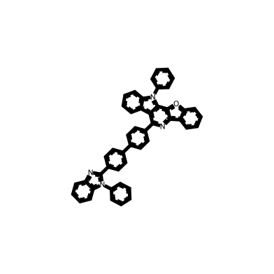 c1ccc(-n2c(-c3ccc(-c4ccc(-c5nc6c7ccccc7oc6c6c5c5ccccc5n6-c5ccccc5)cc4)cc3)nc3ccccc32)cc1